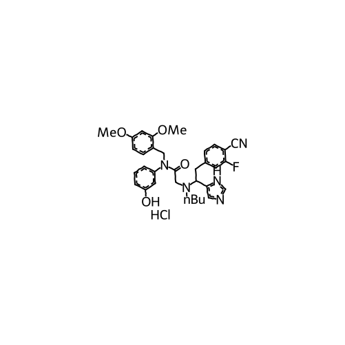 CCCCN(CC(=O)N(Cc1ccc(OC)cc1OC)c1cccc(O)c1)C(Cc1ccc(C#N)c(F)c1)c1cnc[nH]1.Cl